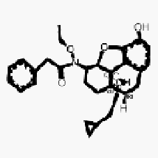 CCON(C(=O)Cc1ccccc1)C1CC[C@@]2(O)[C@H]3Cc4ccc(O)c5c4[C@@]2(CCN3CC2CC2)C1O5